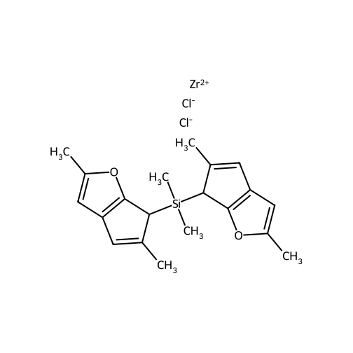 CC1=Cc2cc(C)oc2C1[Si](C)(C)C1C(C)=Cc2cc(C)oc21.[Cl-].[Cl-].[Zr+2]